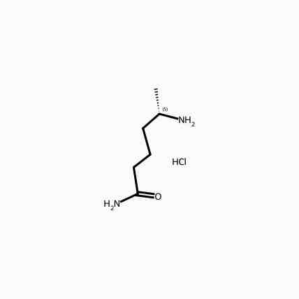 C[C@H](N)CCCC(N)=O.Cl